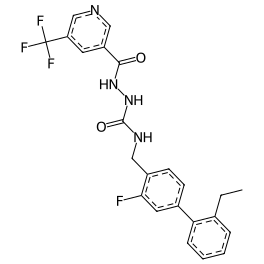 CCc1ccccc1-c1ccc(CNC(=O)NNC(=O)c2cncc(C(F)(F)F)c2)c(F)c1